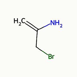 C=C(N)CBr